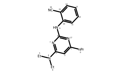 CCCc1cc(N(CC)CC)nc(Nc2ccccc2C#N)n1